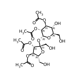 CC(=O)O[C@@H]1[C@@H](CO)O[C@@](CO)(O[C@H]2O[C@H](CO)[C@@H](O)[C@H](OC(C)=O)[C@H]2OC(C)=O)[C@H]1OC(C)=O